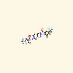 O=C(NCC1CCN(CC(=O)N2CC[C@H](C(F)(F)F)C2)CC1)c1cc(F)cc(C(F)(F)F)c1